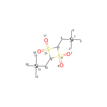 C[Si](C)(C)CC1S(=O)(=O)C(C[Si](C)(C)C)S1(=O)=O